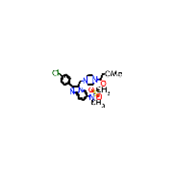 COCC(=O)N1CCN(Cc2c(-c3ccc(Cl)cc3)nc3ccc(N(C)S(C)(=O)=O)cn23)CC1